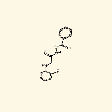 O=C(CNc1ccccc1F)NOC(=O)c1ccccc1